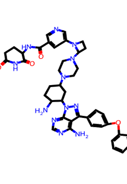 Nc1ncnc2c1c(-c1ccc(Oc3ccccc3)cc1)nn2C1CC(N2CCN(C3CCN3c3cncc(C(=O)NC4CCC(=O)NC4=O)c3)CC2)CCC1N